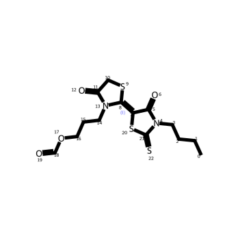 CCCCN1C(=O)/C(=C2\SCC(=O)N2CCCOC=O)SC1=S